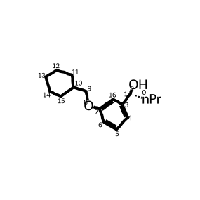 CCC[C@@H](O)c1cccc(OCC2CCCCC2)c1